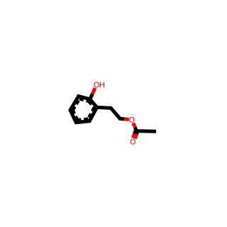 CC(=O)OCCc1ccccc1O